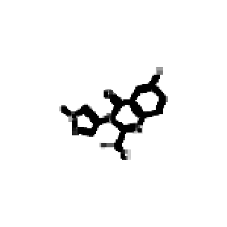 C[C@@H](Cl)c1nc2ccc(F)cc2c(=O)n1-c1cnn(C)c1